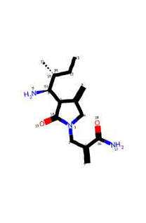 C=C(CN1CC(=C)C([C@@H](N)[C@H](C)CC)C1=O)C(N)=O